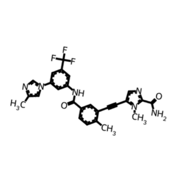 Cc1cn(-c2cc(NC(=O)c3ccc(C)c(C#Cc4cnc(C(N)=O)n4C)c3)cc(C(F)(F)F)c2)cn1